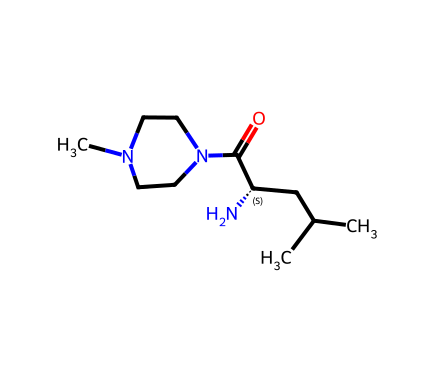 CC(C)C[C@H](N)C(=O)N1CCN(C)CC1